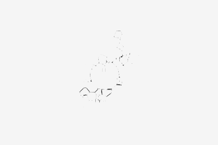 CCn1c(-c2cccnc2[C@H](C)OC)c2c3cc(ccc31)-c1csc(n1)C[C@H](NC(=O)[C@H](C(C)C)N(C)C(=O)N1CC(N3CCCC3)C1)C(=O)N1CCC[C@](C=O)(COCC(C)(C)C2)N1